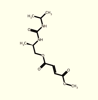 COC(=O)/C=C/C(=O)OC[C@@H](C)NC(=O)NC(C)C